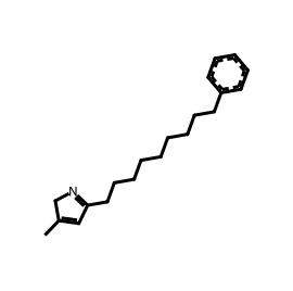 CC1=CC(CCCCCCCCCc2ccccc2)=NC1